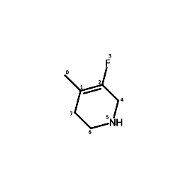 CC1=C(F)CNCC1